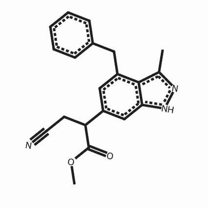 COC(=O)C(CC#N)c1cc(Cc2ccccc2)c2c(C)n[nH]c2c1